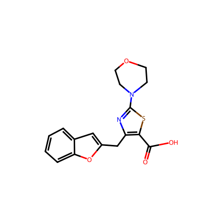 O=C(O)c1sc(N2CCOCC2)nc1Cc1cc2ccccc2o1